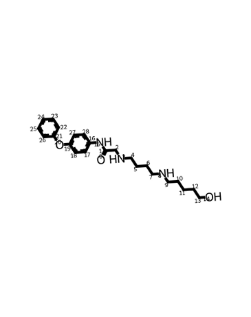 O=C(CNCCCCNCCCCCO)Nc1ccc(Oc2ccccc2)cc1